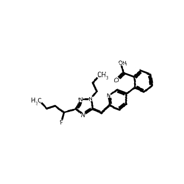 CCCC(F)c1nc(Cc2ccc(-c3ccccc3C(=O)O)cn2)n(CCC)n1